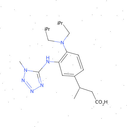 CC(C)CN(CC(C)C)c1ccc(C(C)CC(=O)O)cc1Nc1nnnn1C